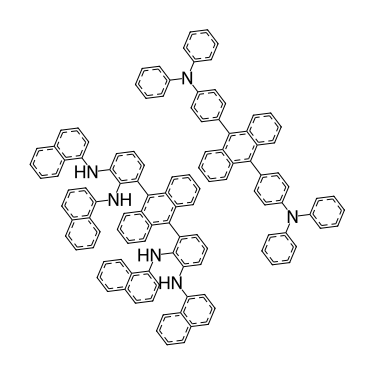 c1cc(Nc2cccc3ccccc23)c(Nc2cccc3ccccc23)c(-c2c3ccccc3c(-c3cccc(Nc4cccc5ccccc45)c3Nc3cccc4ccccc34)c3ccccc23)c1.c1ccc(N(c2ccccc2)c2ccc(-c3c4ccccc4c(-c4ccc(N(c5ccccc5)c5ccccc5)cc4)c4ccccc34)cc2)cc1